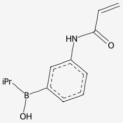 C=CC(=O)Nc1cccc(B(O)C(C)C)c1